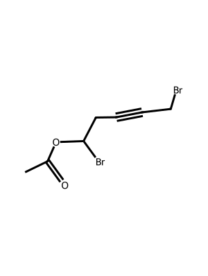 CC(=O)OC(Br)CC#CCBr